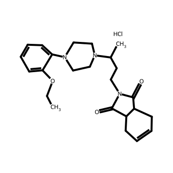 CCOc1ccccc1N1CCN(C(C)CCN2C(=O)C3CC=CCC3C2=O)CC1.Cl